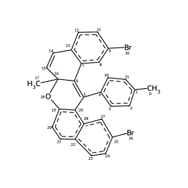 Cc1ccc(C2=C3c4cc(Br)ccc4C=CC3(C)Oc3ccc4ccc(Br)cc4c32)cc1